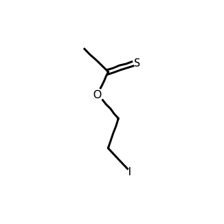 CC(=S)OCCI